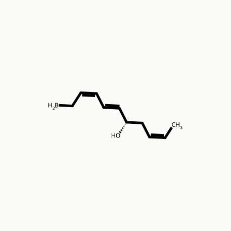 BC/C=C\C=C\[C@@H](O)C/C=C\C